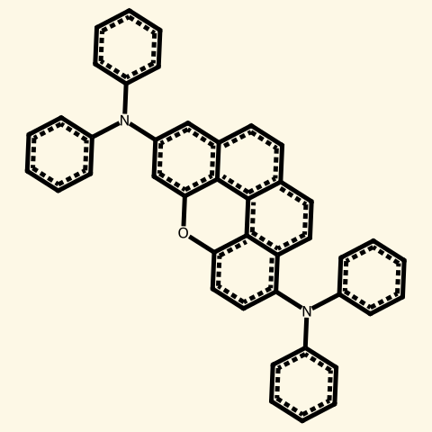 c1ccc(N(c2ccccc2)c2cc3c4c(ccc5ccc6c(N(c7ccccc7)c7ccccc7)ccc(c6c54)O3)c2)cc1